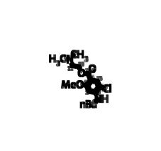 CCCCNc1cc(OC)c(C(=O)OCCN(C)C)cc1Cl